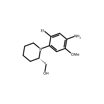 CCc1cc(N)c(OC)cc1N1CCCC[C@H]1[CH]O